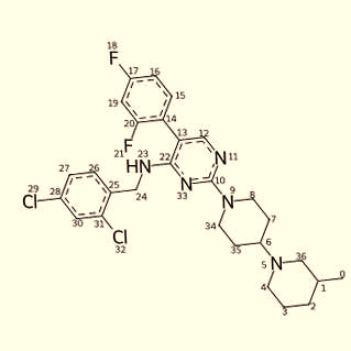 CC1CCCN(C2CCN(c3ncc(-c4ccc(F)cc4F)c(NCc4ccc(Cl)cc4Cl)n3)CC2)C1